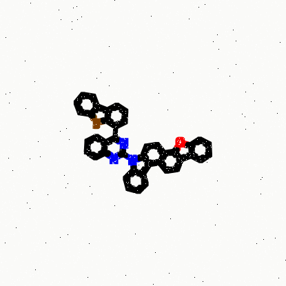 c1ccc2c(-c3cccc4c3sc3ccccc34)nc(-n3c4ccccc4c4c5ccc6c7ccccc7oc6c5ccc43)nc2c1